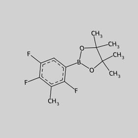 Cc1c(F)c(F)cc(B2OC(C)(C)C(C)(C)O2)c1F